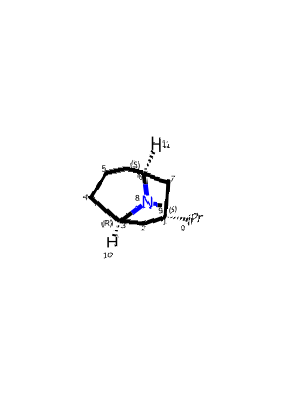 CC(C)[C@@H]1C[C@H]2CC[C@@H](C1)N2C